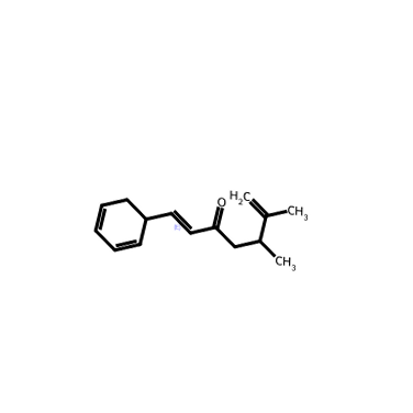 C=C(C)C(C)CC(=O)/C=C/C1C=CC=CC1